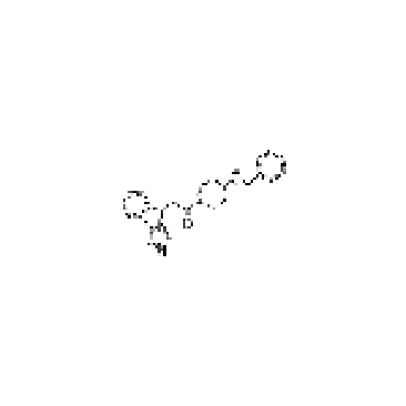 O=C(CC1c2ccccc2-c2cncn21)C1CCC(OCc2ccccc2)CC1